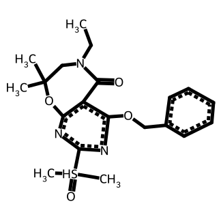 CCN1CC(C)(C)Oc2nc([SH](C)(C)=O)nc(OCc3ccccc3)c2C1=O